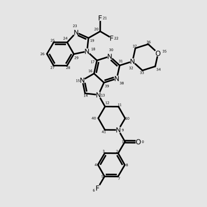 O=C(c1ccc(F)cc1)N1CCC(n2cnc3c(-n4c(C(F)F)nc5ccccc54)nc(N4CCOCC4)nc32)CC1